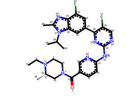 CCN1CCN(C(=O)c2ccc(Nc3ncc(F)c(-c4cc(F)c5nc(C)n(C(C)C)c5c4)n3)nc2)C[C@@H]1C